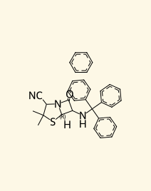 CC1(C)S[C@@H]2C(NC(c3ccccc3)(c3ccccc3)c3ccccc3)C(=O)N2C1C#N.c1ccccc1